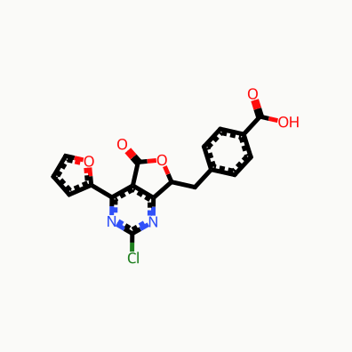 O=C(O)c1ccc(CC2OC(=O)c3c(-c4ccco4)nc(Cl)nc32)cc1